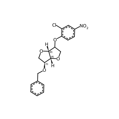 O=[N+]([O-])c1ccc(OC2CO[C@@H]3[C@@H](OCc4ccccc4)CO[C@H]23)c(Cl)c1